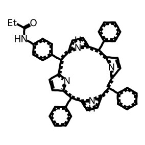 CCC(=O)Nc1ccc(-c2c3nc(c(-c4ccccc4)c4ccc([nH]4)c(-c4ccccc4)c4nc(c(-c5ccccc5)c5ccc2[nH]5)C=C4)C=C3)cc1